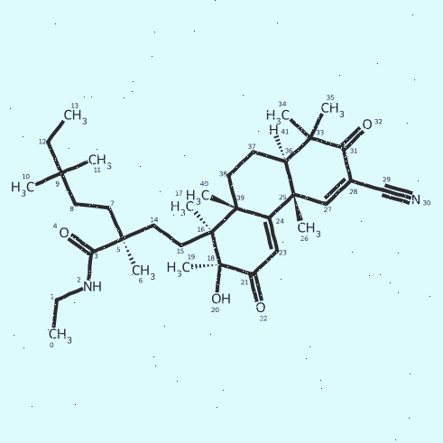 CCNC(=O)[C@@](C)(CCC(C)(C)CC)CC[C@]1(C)[C@](C)(O)C(=O)C=C2[C@@]3(C)C=C(C#N)C(=O)C(C)(C)[C@@H]3CC[C@]21C